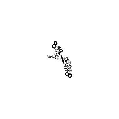 CN[C@@H](C)C(=O)N[C@@H](CC#CC#CC[C@H](NC(=O)[C@H](C)NC)C(=O)N1CCC[C@H]1C(=O)N[C@@H]1CCCc2ccccc21)C(=O)N1CCC[C@H]1C(=O)N[C@@H]1CCCc2ccccc21